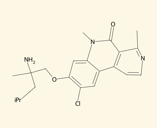 Cc1nccc2c1c(=O)n(C)c1cc(OCC(C)(N)CC(C)C)c(Cl)cc21